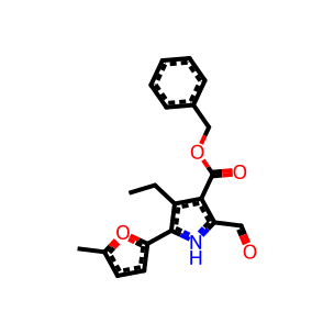 CCc1c(-c2ccc(C)o2)[nH]c(C=O)c1C(=O)OCc1ccccc1